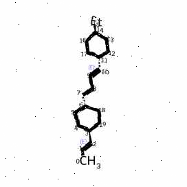 C/C=C/[C@H]1CC[C@H](CC/C=C/[C@H]2CC[C@H](CC)CC2)CC1